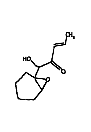 CC=CC(=O)C(O)C12CCCCC1O2